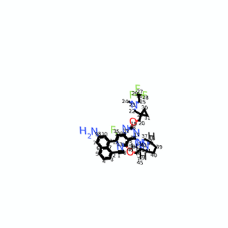 C#Cc1cccc2cc(N)cc(-c3nc4c5c(nc(OCC6(CN(C)CC(F)(F)F)CC6)nc5c3F)N3C[C@H]5CC[C@H](N5)[C@H]3[C@H](C)O4)c12